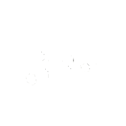 C[C@@H](CC(NCc1ccccc1)OC(=O)N1CCCCC1)NC(=O)c1ccc(Cl)s1